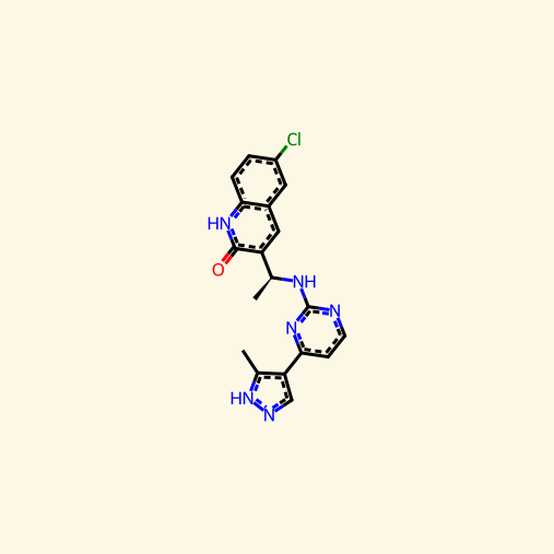 Cc1[nH]ncc1-c1ccnc(N[C@@H](C)c2cc3cc(Cl)ccc3[nH]c2=O)n1